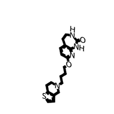 O=C1NCCc2ccc(OCCCCN3CCc4sccc4C3)nc2N1